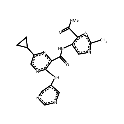 CNC(=O)c1nc(C)ncc1NC(=O)c1nc(C2CC2)cnc1Nc1cncnc1